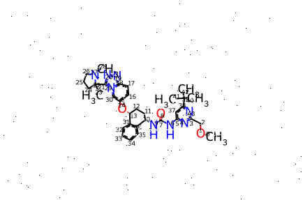 COCc1nc(NC(=O)N[C@H]2CC[C@@H](Oc3ccc4nnc(C5(C)CCCN5C)n4c3)c3ccccc32)cc(C(C)(C)C)n1